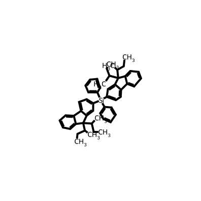 CCC(C)C1(C(C)CC)c2ccccc2-c2ccc([Si](c3ccccc3)(c3ccccc3)c3ccc4c(c3)C(C(C)CC)(C(C)CC)c3ccccc3-4)cc21